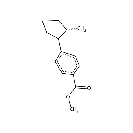 COC(=O)c1ccc(C2CCC[C@@H]2C)cc1